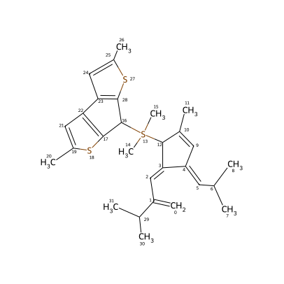 C=C(/C=C1\C(=C\C(C)C)C=C(C)C1S(C)(C)C1c2sc(C)cc2-c2cc(C)sc21)C(C)C